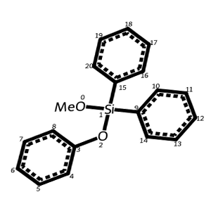 CO[Si](Oc1ccccc1)(c1ccccc1)c1ccccc1